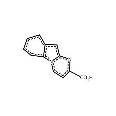 O=C(O)c1ccn2c(cc3ccccc32)n1